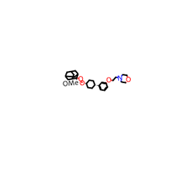 COC1(OO[C@H]2CC[C@@H](c3cccc(OCCN4CCOCC4)c3)CC2)C2CC3CC(C2)CC1C3